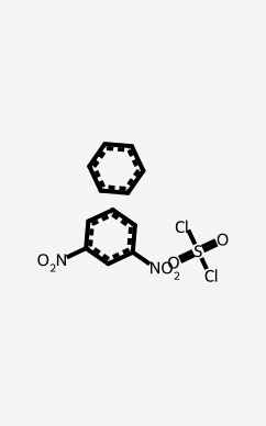 O=S(=O)(Cl)Cl.O=[N+]([O-])c1cccc([N+](=O)[O-])c1.c1ccccc1